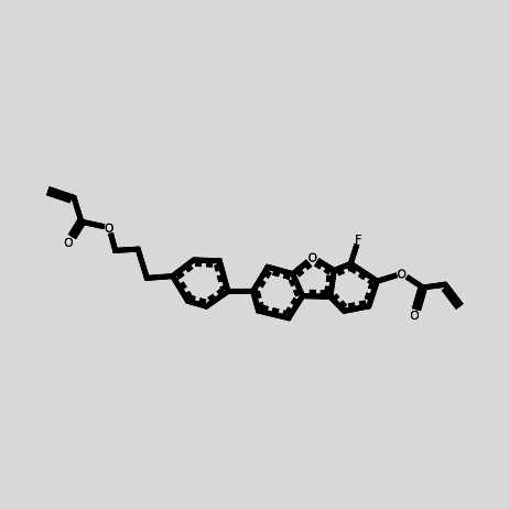 C=CC(=O)OCCCc1ccc(-c2ccc3c(c2)oc2c(F)c(OC(=O)C=C)ccc23)cc1